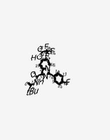 CC(NC(=O)c1nc(-c2ccc(F)cc2)n2ccccc12)C(C)(C)C.O=C(O)C(F)(F)F